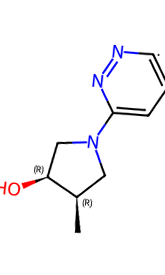 C[C@@H]1CN(c2cc[c]nn2)C[C@@H]1O